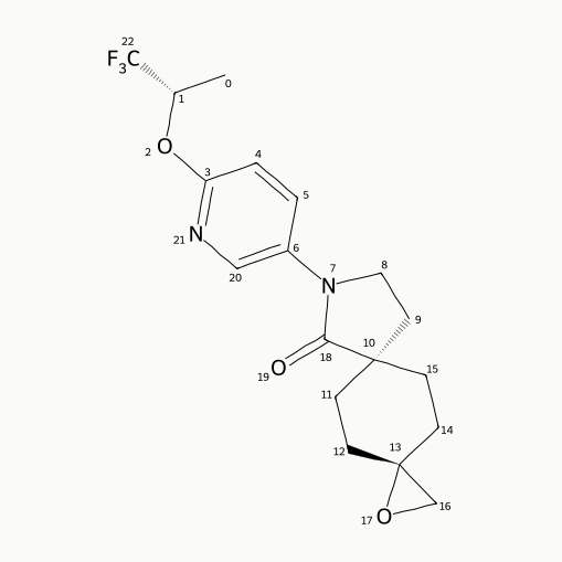 C[C@H](Oc1ccc(N2CC[C@]3(CC[C@@]4(CC3)CO4)C2=O)cn1)C(F)(F)F